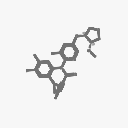 CC#CC(=O)N(c1cc(C)c(I)cc1C1CC1)c1ncc(O[C@H]2COC[C@@H]2OC)cc1C